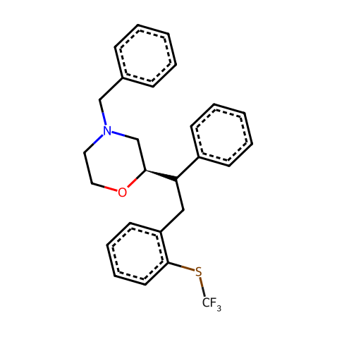 FC(F)(F)Sc1ccccc1CC(c1ccccc1)[C@@H]1CN(Cc2ccccc2)CCO1